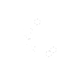 CC[C@H](C)[C@H](NC(=O)[C@@H](C[C@H](O)[C@H](COCc1cccc2ccccc12)NC(C)C)C(C)C)C(=O)NCc1ccccc1